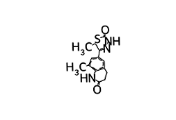 Cc1cc(C2=NNC(=O)SC2C)cc2c1NC(=O)CC2